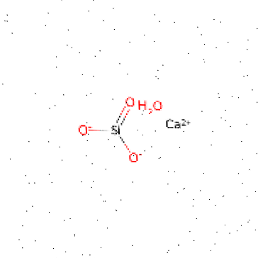 O.O=[Si]([O-])[O-].[Ca+2]